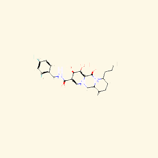 CCCC1CCC(C)C2Cn3cc(C(=O)NCc4ccc(F)cc4F)c(=O)c(O)c3C(=O)N12